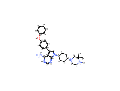 CN1CCN(C2CCC(n3cc(-c4ccc(Oc5ccccc5)cc4)c4c(N)ncnc43)CC2)CC1(C)C